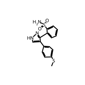 CSc1ccc(-c2c[nH]nc2-c2ccccc2S(N)(=O)=O)cc1